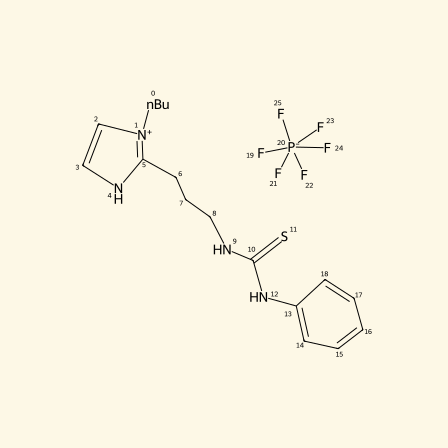 CCCC[n+]1cc[nH]c1CCCNC(=S)Nc1ccccc1.F[P-](F)(F)(F)(F)F